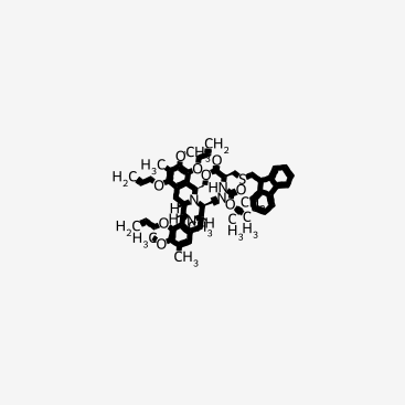 C=CCOc1c(C)c(OC)c(OCC=C)c2c1C[C@H]1[C@@H]3c4c(cc(C)c(OC)c4OCC=C)C[C@H]([C@H](C#N)N1[C@H]2COC(=O)[C@@H](CSCC1c2ccccc2-c2ccccc21)NC(=O)OC(C)(C)C)N3C